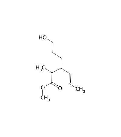 CC=CC(CCCO)C(C)C(=O)OC